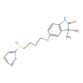 CC1(C)C(=O)Nc2ccc(OCCCC[S+]([O-])c3ccccn3)cc21